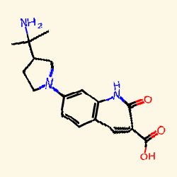 CC(C)(N)C1CCN(c2ccc3cc(C(=O)O)c(=O)[nH]c3c2)C1